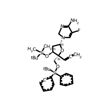 C=C=C[C@]1(CO[Si](c2ccccc2)(c2ccccc2)C(C)(C)C)O[C@@H](N2C=C(F)C(N)=NC2)C[C@@H]1O[Si](C)(C)C(C)(C)C